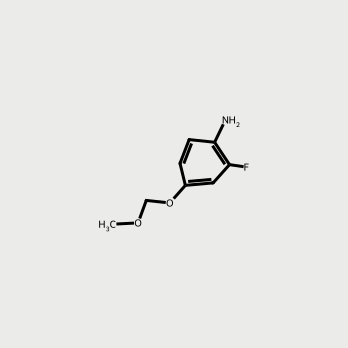 COCOc1ccc(N)c(F)c1